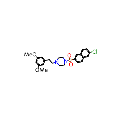 COc1cc(CCN2CCN(S(=O)(=O)c3ccc4cc(Cl)ccc4c3)CC2)cc(OC)c1